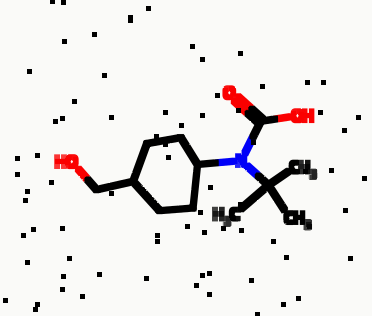 CC(C)(C)N(C(=O)O)C1CCC(CO)CC1